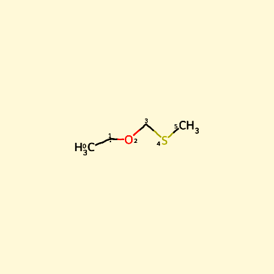 C[CH]OCSC